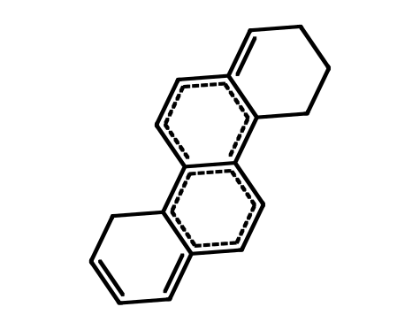 C1=CCc2c(ccc3c4c(ccc23)=CCCC4)=C1